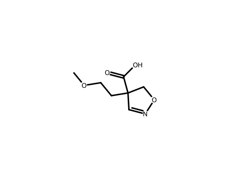 COCCC1(C(=O)O)C=NOC1